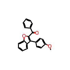 COc1ccc(-c2c(C(=O)c3ccccc3)oc3ccccc23)cc1